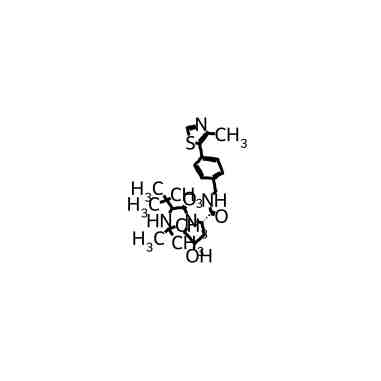 Cc1ncsc1-c1ccc(CNC(=O)[C@@H]2C[C@@H](O)CN2C(=O)C(NC(C)(C)C)C(C)(C)C)cc1